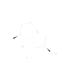 OC[C@@H]1[C@@H](O)[C@H](O)[C@H]2[C@@H](O)[C@H](O)CN21